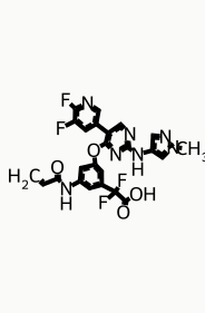 C=CC(=O)Nc1cc(Oc2nc(Nc3cnn(C)c3)ncc2-c2cnc(F)c(F)c2)cc(C(F)(F)C(=O)O)c1